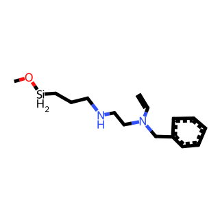 C=CN(CCNCCC[SiH2]OC)Cc1ccccc1